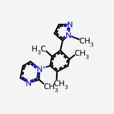 Cc1cc(C)c(-[n+]2cccnc2C)c(C)c1-c1ccnn1C